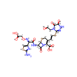 Nc1nc(/C(=N\OCC(=O)O)C(=O)NC2C(=O)N3C(C(=O)O)=C(/C=C/Sc4n[nH]c(=O)c(=O)n4CC=O)CSC23)cs1